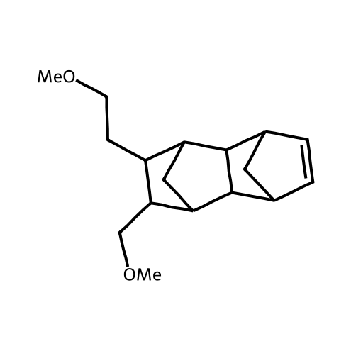 COCCC1C(COC)C2CC1C1C3C=CC(C3)C21